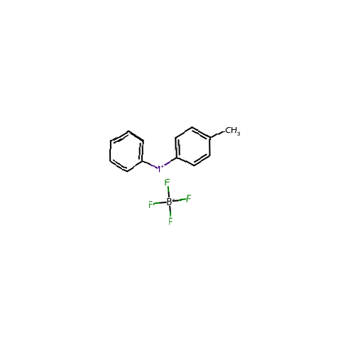 Cc1ccc([I+]c2ccccc2)cc1.F[B-](F)(F)F